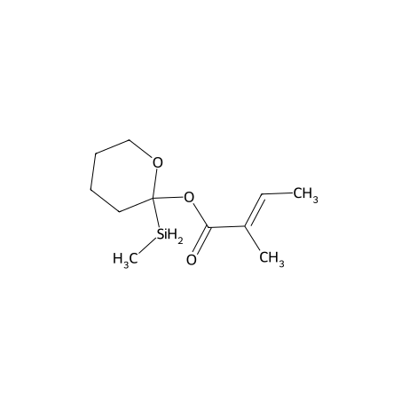 CC=C(C)C(=O)OC1([SiH2]C)CCCCO1